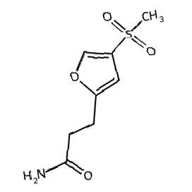 CS(=O)(=O)c1coc(CCC(N)=O)c1